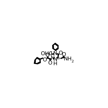 NC(=O)C[C@H](NNC(=O)C(=O)OCc1ccccc1)C(=O)N(C[C]=O)c1ccccc1